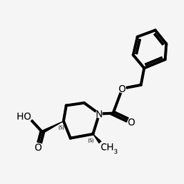 C[C@H]1C[C@@H](C(=O)O)CCN1C(=O)OCc1ccccc1